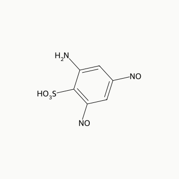 Nc1cc(N=O)cc(N=O)c1S(=O)(=O)O